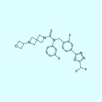 Fc1cccc(N(Cc2ccc(-c3nnc(C(F)F)o3)cc2F)C(=S)N2CC3(C2)CN(C2COC2)C3)c1